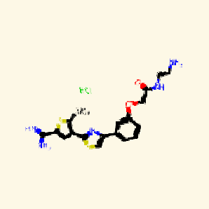 CSc1sc(C(=N)N)cc1-c1nc(-c2cccc(OCC(=O)NCCN)c2)cs1.Cl